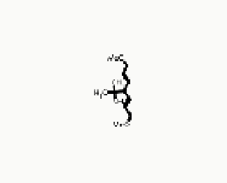 COCC=CC(C=CCOC)C(C)(C)NC(C)=O